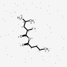 CCCCC(=O)OC(=O)C(F)CC(C)C